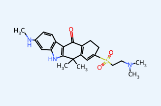 CNc1ccc2c3c([nH]c2c1)C(C)(C)C1=C(CCC(S(=O)(=O)CCN(C)C)=C1)C3=O